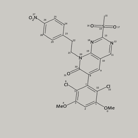 COc1cc(OC)c(Cl)c(-c2cc3cnc(S(C)(=O)=O)nc3n(CCc3ccc([N+](=O)[O-])cc3)c2=O)c1Cl